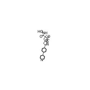 CC(CC1CC(c2ccc(-c3ccncc3)cc2)=NO1)(C(=O)NO)S(C)(=O)=O